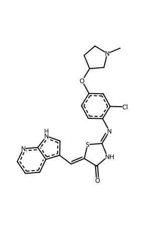 CN1CCC(Oc2ccc(/N=C3/NC(=O)/C(=C/c4c[nH]c5ncccc45)S3)c(Cl)c2)C1